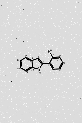 Fc1ccccc1-c1cc2ccccc2s1